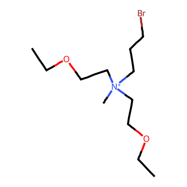 CCOCC[N+](C)(CCCBr)CCOCC